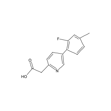 Cc1ccc(-c2ccc(CC(=O)O)nc2)c(F)c1